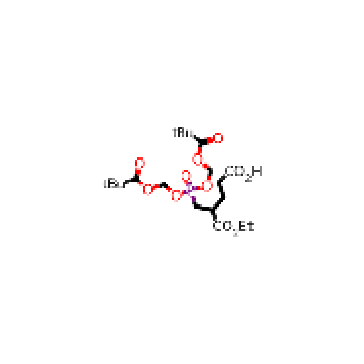 CCOC(=O)C(CCC(=O)O)CP(=O)(OCOC(=O)C(C)(C)C)OCOC(=O)C(C)(C)C